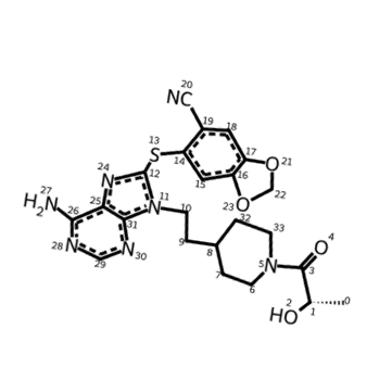 C[C@H](O)C(=O)N1CCC(CCn2c(Sc3cc4c(cc3C#N)OCO4)nc3c(N)ncnc32)CC1